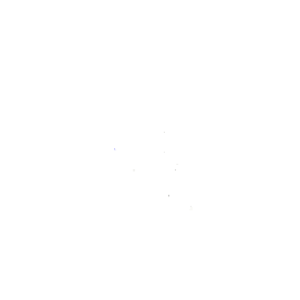 CCOc1ccc(C(=O)CC(C)=O)cn1